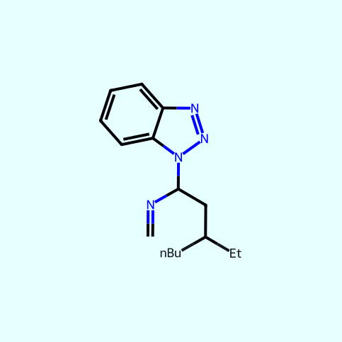 C=NC(CC(CC)CCCC)n1nnc2ccccc21